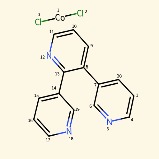 [Cl][Co][Cl].c1cncc(-c2cccnc2-c2cccnc2)c1